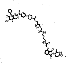 CC(=O)c1c(C)c2cnc(Nc3ccc(N4CCN(C(=O)CCc5cn(CC(=O)NCCCCNC(=O)COc6cccc7c6C(=O)N(C6CCC(=O)NC6=O)C7=O)nn5)CC4)cn3)nc2n(C2CCCC2)c1=O